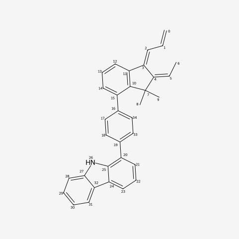 C=CC=C1/C(=C\C)C(C)(C)c2c1cccc2-c1ccc(-c2cccc3c2[nH]c2ccccc23)cc1